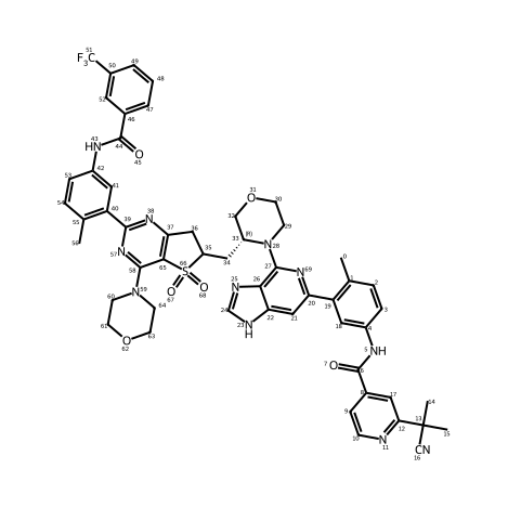 Cc1ccc(NC(=O)c2ccnc(C(C)(C)C#N)c2)cc1-c1cc2[nH]cnc2c(N2CCOC[C@H]2CC2Cc3nc(-c4cc(NC(=O)c5cccc(C(F)(F)F)c5)ccc4C)nc(N4CCOCC4)c3S2(=O)=O)n1